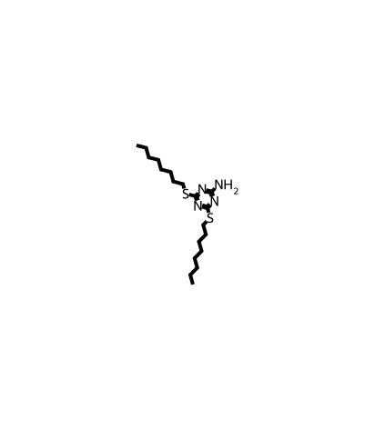 CCCCCCCCSc1nc(N)nc(SCCCCCCCC)n1